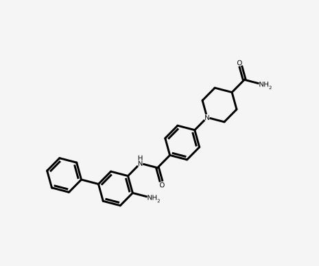 NC(=O)C1CCN(c2ccc(C(=O)Nc3cc(-c4ccccc4)ccc3N)cc2)CC1